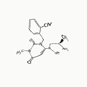 CCCN(C[C@@H](C)N)c1cc(=O)n(C)c(=O)n1Cc1ccccc1C#N